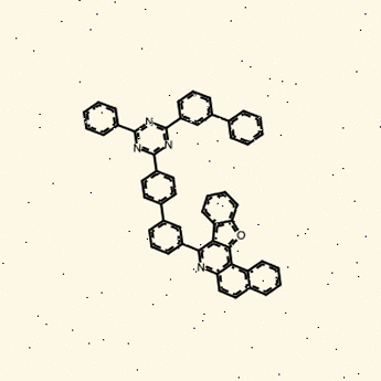 c1ccc(-c2cccc(-c3nc(-c4ccccc4)nc(-c4ccc(-c5cccc(-c6nc7ccc8ccccc8c7c7oc8ccccc8c67)c5)cc4)n3)c2)cc1